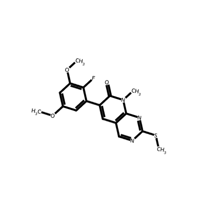 COc1cc(OC)c(F)c(-c2cc3cnc(SC)nc3n(C)c2=O)c1